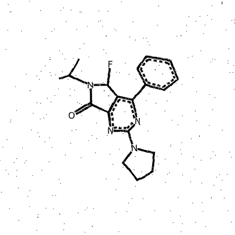 CC(C)N1C(=O)c2nc(N3CCCC3)nc(-c3ccccc3)c2C1F